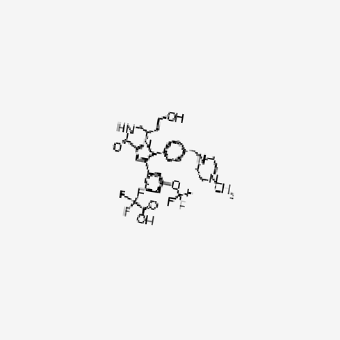 CN1CCN(Cc2ccc(-c3c(-c4cccc(OC(F)(F)F)c4)cc4n3C(CCO)CNC4=O)cc2)CC1.O=C(O)C(F)(F)F